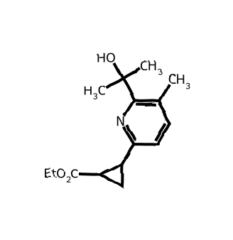 CCOC(=O)C1CC1c1ccc(C)c(C(C)(C)O)n1